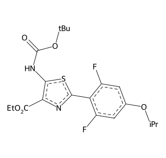 CCOC(=O)c1nc(-c2c(F)cc(OC(C)C)cc2F)sc1NC(=O)OC(C)(C)C